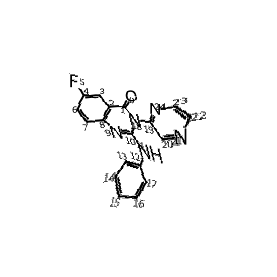 O=c1c2cc(F)ccc2nc(Nc2ccccc2)n1-c1cnccn1